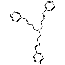 C(=NCCN(CCN=Cc1ccncc1)CCN=Cc1ccncc1)c1ccncc1